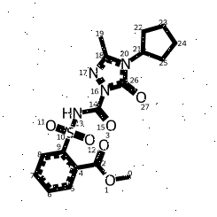 COC(=O)c1ccccc1S(=O)(=O)NC(=O)n1nc(C)n(C2CCCC2)c1=O